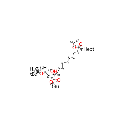 CCCCCCCC1(CCCCCC/C=C/C[C@@](O)(CCO[Si](C)(C)C(C)(C)C)C(=O)OC(C)(C)C)OCCO1